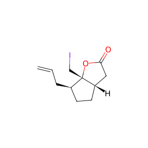 C=CC[C@@H]1CC[C@H]2CC(=O)O[C@@]12CI